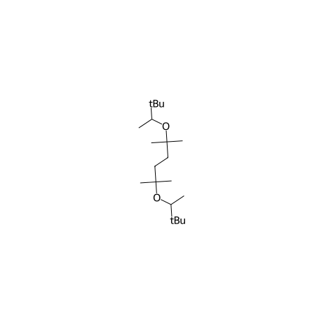 CC(OC(C)(C)CCC(C)(C)OC(C)C(C)(C)C)C(C)(C)C